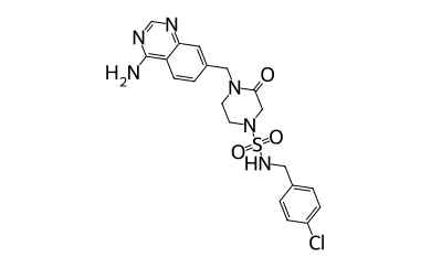 Nc1ncnc2cc(CN3CCN(S(=O)(=O)NCc4ccc(Cl)cc4)CC3=O)ccc12